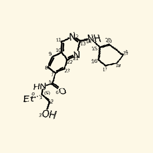 CC[C@@H](CO)NC(=O)c1ccc2cnc(NC3CCCCC3)nc2c1